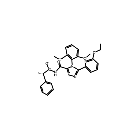 CCOc1cccc(-c2nnc(C(=O)N[S+]([O-])[C@@H](C)c3ccccc3)n2-c2c(OC)cccc2OC)n1